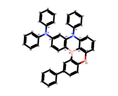 c1ccc(-c2ccc3c(c2)B2c4ccc(N(c5ccccc5)c5ccccc5)cc4N(c4ccccc4)c4cccc(c42)O3)cc1